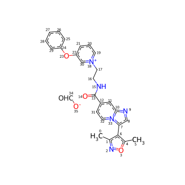 Cc1noc(C)c1-c1cnc2cc(C(=O)NCC[n+]3cccc(Oc4ccccc4)c3)ccn12.O=C[O-]